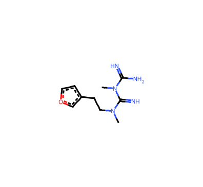 CN(CCc1ccoc1)C(=N)N(C)C(=N)N